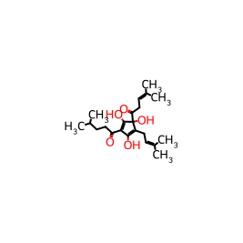 CC(C)=CCC(=O)C1(O)C(O)=C(C(=O)CCC(C)C)C(O)=C1CC=C(C)C